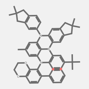 Cc1cc2c3c(c1)N(c1c(-c4ccccc4)ccc4c1OCCO4)c1ccc(C(C)(C)C)cc1B3c1cc3c(cc1N2c1ccc2c(c1)CC(C)(C)C2)CC(C)(C)C3